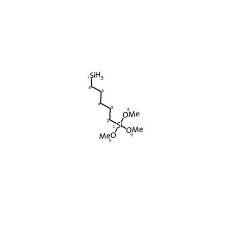 CO[Si](CCCCC[SiH3])(OC)OC